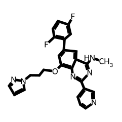 CNc1nc(-c2cccnc2)nc2c(OCCCn3cccn3)cc(-c3cc(F)ccc3F)cc12